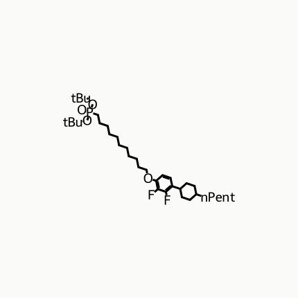 CCCCCC1CCC(c2ccc(OCCCCCCCCCCCP(=O)(OC(C)(C)C)OC(C)(C)C)c(F)c2F)CC1